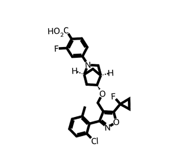 Cc1cccc(Cl)c1-c1noc(C2(F)CC2)c1CO[C@@H]1C[C@@H]2C[C@H]1CN2c1ccc(C(=O)O)c(F)c1